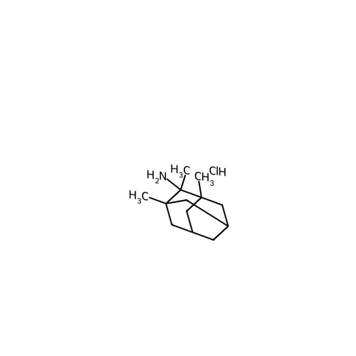 CC12CC3CC(C1)CC(C)(C3)C2(C)N.Cl